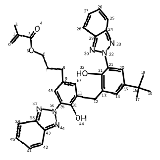 C=C(C)C(=O)OCCCc1cc(Cc2cc(C(C)(C)C)cc(-n3nc4ccccc4n3)c2O)c(O)c(-n2nc3ccccc3n2)c1